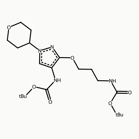 CC(C)(C)OC(=O)NCCCOc1nn(C2CCOCC2)cc1NC(=O)OC(C)(C)C